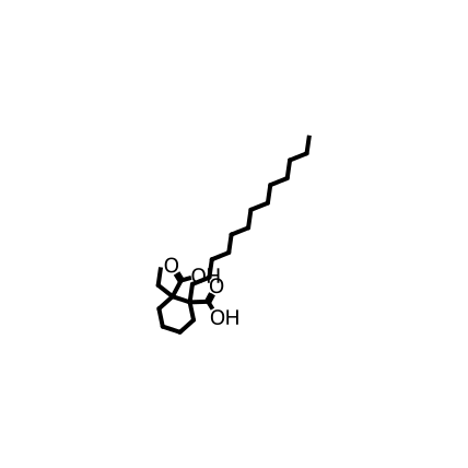 CCCCCCCCCCCCCC1(C(=O)O)CCCCC1(CC)C(=O)O